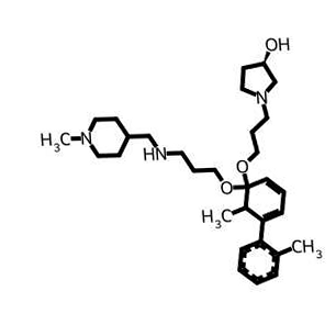 Cc1ccccc1C1=CC=CC(OCCCNCC2CCN(C)CC2)(OCCCN2CC[C@@H](O)C2)C1C